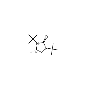 C[C@H]1CN(C(C)(C)C)C(=O)N1C(C)(C)C